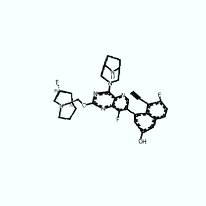 C#Cc1c(F)ccc2cc(O)cc(-c3cnc4c(N5CC6CCC(C5)N6)nc(OC[C@@]56CCCN5C[C@H](F)C6)nc4c3F)c12